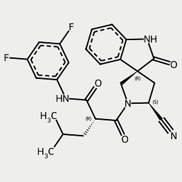 CC(C)C[C@H](C(=O)Nc1cc(F)cc(F)c1)C(=O)N1C[C@]2(C[C@H]1C#N)C(=O)Nc1ccccc12